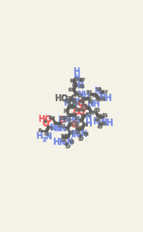 C[C@H](N)C(=O)N[C@@H](CO)C(=O)N[C@@H](Cc1c[nH]cn1)C(=O)N[C@@H](Cc1c[nH]cn1)C(=O)N[C@@H](Cc1c[nH]cn1)C(=O)N[C@@H](Cc1c[nH]cn1)C(=O)N[C@@H](Cc1c[nH]cn1)C(=O)N[C@@H](Cc1c[nH]cn1)C(=O)O